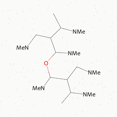 CNCC(C(C)NC)C(NC)OC(NC)C(CNC)C(C)NC